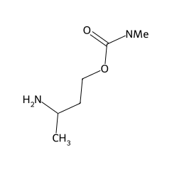 CNC(=O)OCCC(C)N